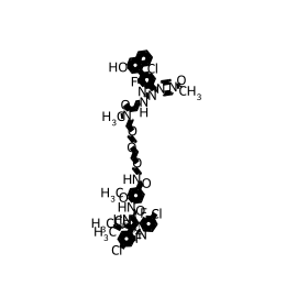 COc1cc(C(=O)NCCOCCOCCOCCN(C)C(=O)CCNc2nc(N3CCN(C(C)=O)CC3)c3cc(Cl)c(-c4cc(O)cc5ccccc45)c(F)c3n2)ccc1NC(=O)[C@@H]1N[C@@H](CC(C)(C)C)[C@](C#N)(c2ccc(Cl)cc2F)[C@H]1c1cccc(Cl)c1F